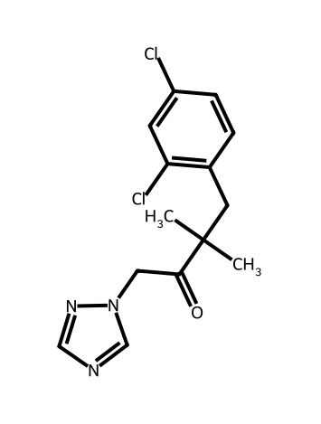 CC(C)(Cc1ccc(Cl)cc1Cl)C(=O)Cn1cncn1